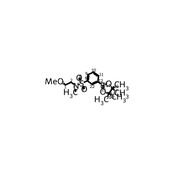 COCCN(C)S(=O)(=O)c1cccc(B2OC(C)(C)C(C)(C)O2)c1